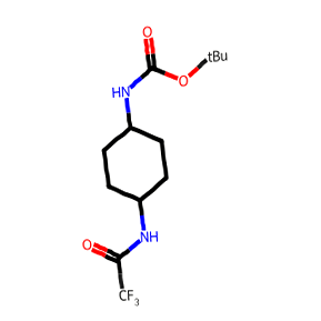 CC(C)(C)OC(=O)NC1CCC(NC(=O)C(F)(F)F)CC1